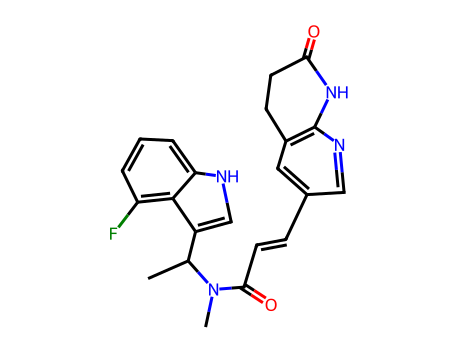 CC(c1c[nH]c2cccc(F)c12)N(C)C(=O)C=Cc1cnc2c(c1)CCC(=O)N2